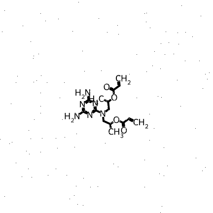 C=CC(=O)OC(C)CN(CC(C)OC(=O)C=C)c1nc(N)nc(N)n1